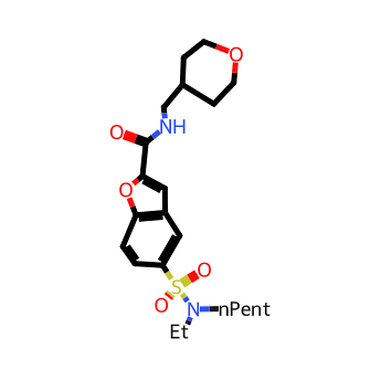 CCCCCN(CC)S(=O)(=O)c1ccc2oc(C(=O)NCC3CCOCC3)cc2c1